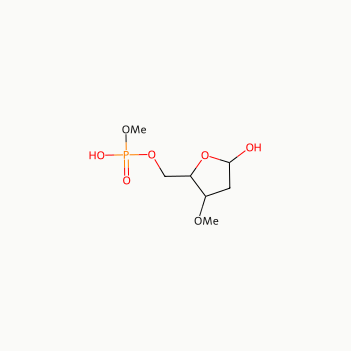 COC1CC(O)OC1COP(=O)(O)OC